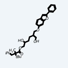 CC(C)CC(C)(C(=O)OCC(O)CCC(CO)COc1ccc2cc(-c3ccccc3)oc2c1)C(C)(C)C